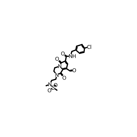 CN(CCN1CCn2c(c(C=O)cc(C(=O)NCc3ccc(Cl)cc3)c2=O)C1=O)S(C)(=O)=O